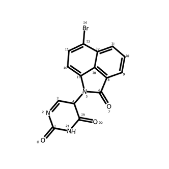 O=C1N=CC(N2C(=O)c3cccc4c(Br)ccc2c34)C(=O)N1